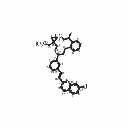 CC(CO)c1ccccc1CCC(SCC1(CC(=O)O)CC1)c1cccc(C=Cc2ccc3ccc(Cl)cc3n2)c1